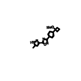 COC1(c2ccc(-c3noc(-c4cc(C)[nH]n4)n3)cc2)CCC1